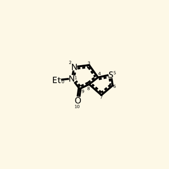 CCn1ncc2sccc2c1=O